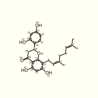 CC(C)=CCCC(C)=CCc1c(O)cc(O)c2c1O[C@H](c1ccc(O)cc1O)CC2=O